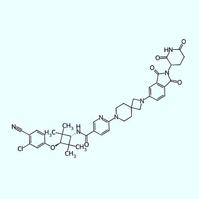 CC1(C)[C@H](NC(=O)c2ccc(N3CCC4(CC3)CN(c3ccc5c(c3)C(=O)N(C3CCC(=O)NC3=O)C5=O)C4)nc2)C(C)(C)[C@H]1Oc1ccc(C#N)c(Cl)c1